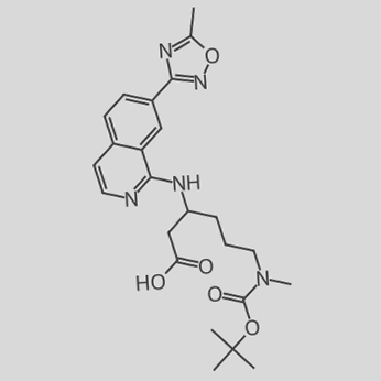 Cc1nc(-c2ccc3ccnc(NC(CCCN(C)C(=O)OC(C)(C)C)CC(=O)O)c3c2)no1